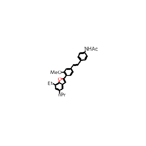 CCCc1cc(CC)c2oc(-c3ccc(C=Cc4ccc(NC(C)=O)cc4)cc3OC)cc2c1